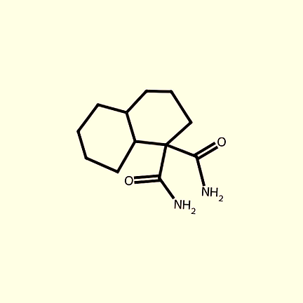 NC(=O)C1(C(N)=O)CCCC2CCCCC21